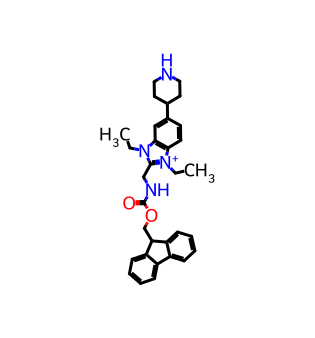 CCn1c(CNC(=O)OCC2c3ccccc3-c3ccccc32)[n+](CC)c2ccc(C3CCNCC3)cc21